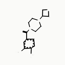 COc1cc(C(=O)N2CCN(C3COC3)CC2)ccc1SC